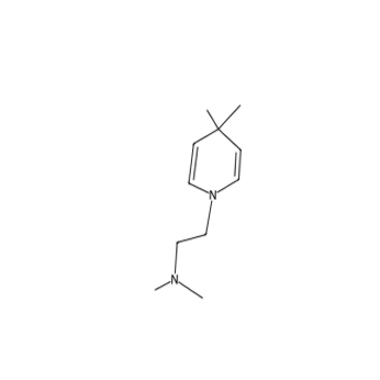 CN(C)CCN1C=CC(C)(C)C=C1